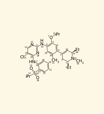 CC[C@H]1CC(c2cc(OC(C)C)c(Nc3ncc(Cl)c(Nc4ccccc4S(=O)(=O)C(C)C)n3)cc2C)=C[C@@H](CC)N1C